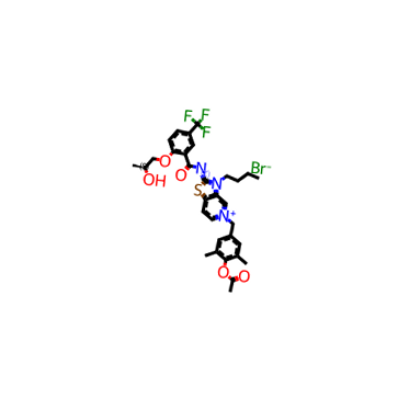 CCCCn1/c(=N/C(=O)c2cc(C(F)(F)F)ccc2OC[C@H](C)O)sc2cc[n+](Cc3cc(C)c(OC(C)=O)c(C)c3)cc21.[Br-]